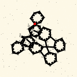 O=P(c1ccccc1)(c1ccccc1)c1ccc2c(c1)C1(c3ccccc3-2)c2ccccc2-c2ccc(P(=O)(c3ccccc3)c3ccccc3)cc21